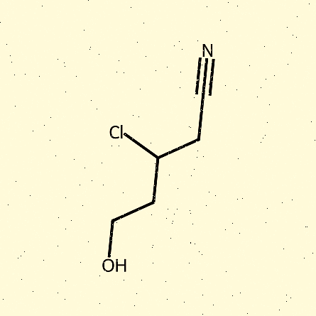 N#CCC(Cl)CCO